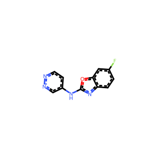 Fc1ccc2nc(Nc3ccnnc3)oc2c1